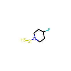 FC1CCN(SS)CC1